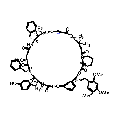 COc1cc(OC)c(OC)cc1CC[C@H]1OC(=O)[C@@H]2CCCCN2C(=O)CC(C)(C)COC(=O)/C=C/CCN(C)C(=O)[C@@H](Cc2ccccc2)NC(=O)CN(C)C(=O)[C@@H](Cc2ccccc2)NC(=O)[C@H](Cc2ccc(O)cc2)N(C)C(=O)COc2cccc1c2